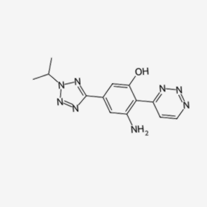 CC(C)n1nnc(-c2cc(N)c(-c3ccnnn3)c(O)c2)n1